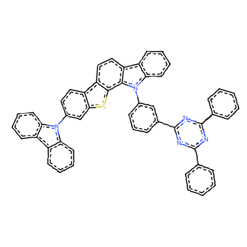 c1ccc(-c2nc(-c3ccccc3)nc(-c3cccc(-n4c5ccccc5c5ccc6c7ccc(-n8c9ccccc9c9ccccc98)cc7sc6c54)c3)n2)cc1